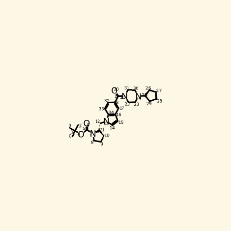 CC(C)(C)OC(=O)N1CCC[C@H]1Cn1ccc2cc(C(=O)N3CCN(C4CCCC4)CC3)ccc21